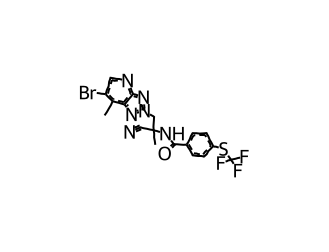 Cc1c(Br)cnc2nn(CC(C)(C#N)NC(=O)c3ccc(SC(F)(F)F)cc3)nc12